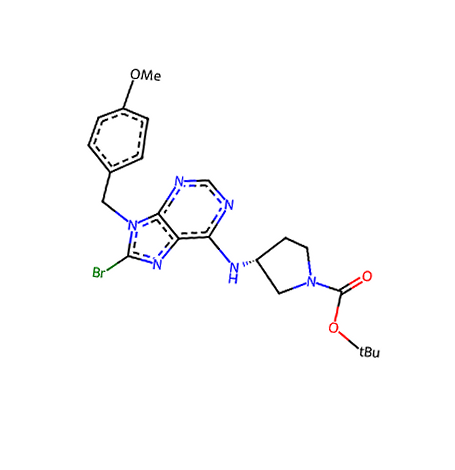 COc1ccc(Cn2c(Br)nc3c(N[C@@H]4CCN(C(=O)OC(C)(C)C)C4)ncnc32)cc1